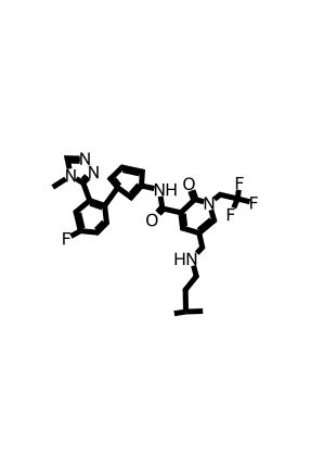 CC(C)CCNCc1cc(C(=O)Nc2cccc(-c3ccc(F)cc3-c3nncn3C)c2)c(=O)n(CC(F)(F)F)c1